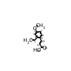 C=Cc1cc(OC)ccc1C=CC(=O)O